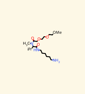 COCCOCCOCC(=O)N(C)C(C(=O)NCCCCCCN)C(C)C